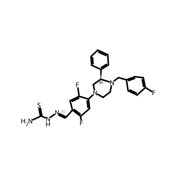 NC(=S)N/N=C/c1cc(F)c(N2CCN(Cc3ccc(F)cc3)[C@H](c3ccccc3)C2)cc1F